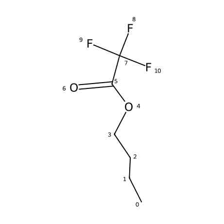 CCCCOC(=O)C(F)(F)F